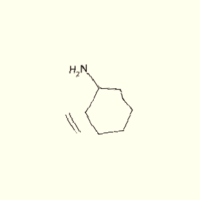 C=C.NC1CCCCC1